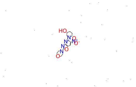 O=[N+]([O-])c1cc2oc(N3CCOCC3)nc2nc1N1CCCC(O)C1